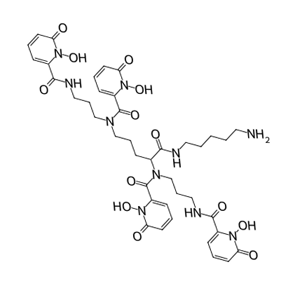 NCCCCCNC(=O)C(CCCN(CCCNC(=O)c1cccc(=O)n1O)C(=O)c1cccc(=O)n1O)N(CCCNC(=O)c1cccc(=O)n1O)C(=O)c1cccc(=O)n1O